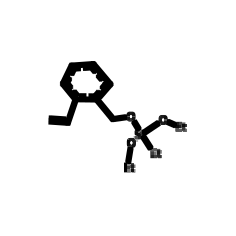 C=Cc1ccccc1CO[Si](CC)(OCC)OCC